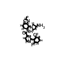 Cc1nc2c(N3CC[C@@H](N)C3)c(NC(=O)c3ccnc(-c4c(F)cccc4C(F)(F)F)n3)ccc2s1